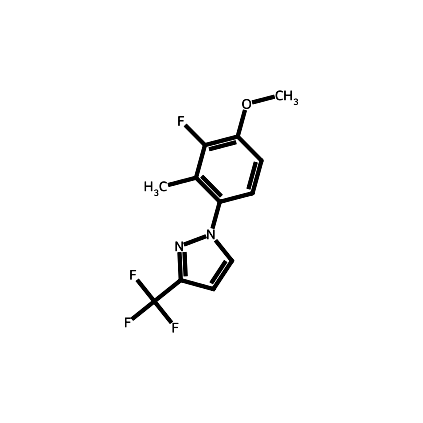 COc1ccc(-n2ccc(C(F)(F)F)n2)c(C)c1F